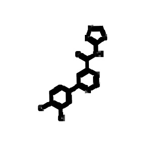 O=C(Nc1nncs1)c1cc(-c2ccc(Cl)c(Cl)c2)ncn1